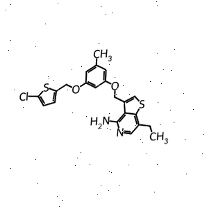 CCc1cnc(N)c2c(COc3cc(C)cc(OCc4ccc(Cl)s4)c3)csc12